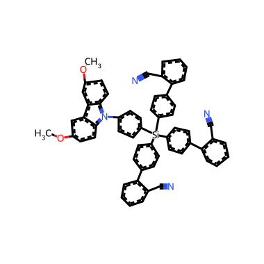 COc1ccc2c(c1)c1cc(OC)ccc1n2-c1ccc([Si](c2ccc(-c3ccccc3C#N)cc2)(c2ccc(-c3ccccc3C#N)cc2)c2ccc(-c3ccccc3C#N)cc2)cc1